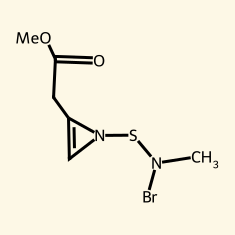 COC(=O)CC1=CN1SN(C)Br